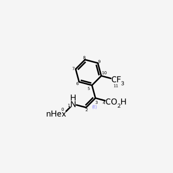 CCCCCCN/C=C(/C(=O)O)c1ccccc1C(F)(F)F